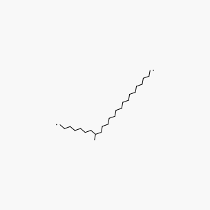 [CH2]CCCCCCCCCCCCCCCC(C)CCCCCC[CH2]